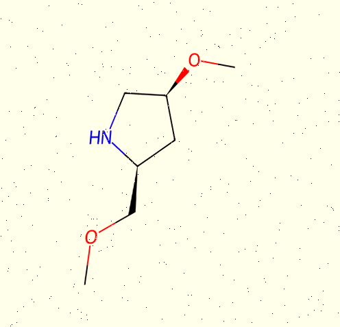 COC[C@@H]1C[C@H](OC)CN1